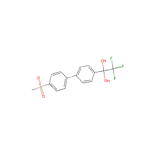 CS(=O)(=O)c1ccc(-c2ccc(C(O)(O)C(F)(F)F)cc2)cc1